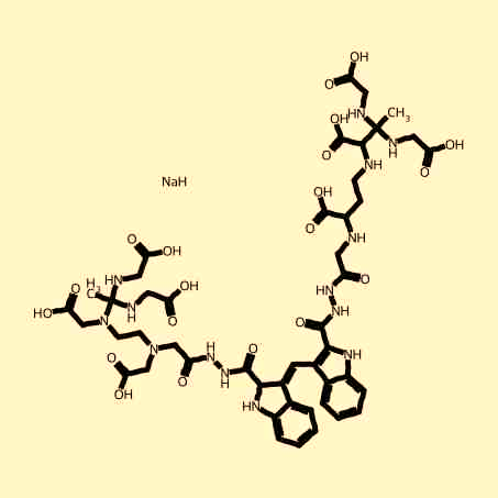 CC(NCC(=O)O)(NCC(=O)O)C(NCCC(NCC(=O)NNC(=O)c1[nH]c2ccccc2c1C=C1c2ccccc2NC1C(=O)NNC(=O)CN(CCN(CC(=O)O)C(C)(NCC(=O)O)NCC(=O)O)CC(=O)O)C(=O)O)C(=O)O.[NaH]